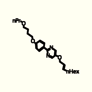 CCCCCC/C=C/COc1cnc(-c2ccc(OCCCCOCCC)cc2)nc1